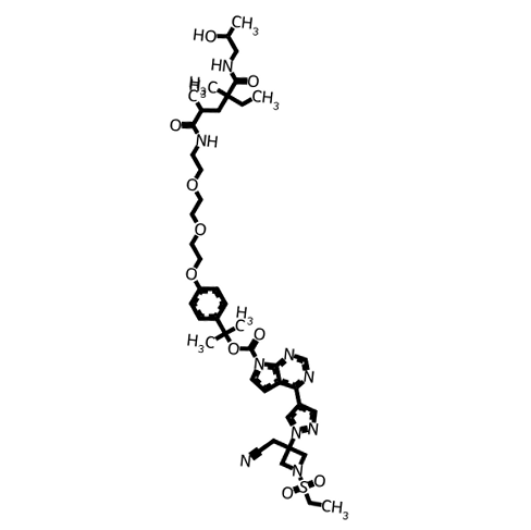 CCC(C)(CC(C)C(=O)NCCOCCOCCOc1ccc(C(C)(C)OC(=O)n2ccc3c(-c4cnn(C5(CC#N)CN(S(=O)(=O)CC)C5)c4)ncnc32)cc1)C(=O)NCC(C)O